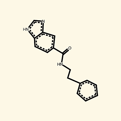 O=C(NCCc1ccccc1)c1ccc2[nH]cnc2c1